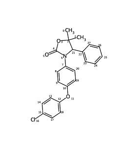 CC1(C)OC(=O)N(c2ccc(Oc3ccc(Cl)cc3)cc2)C1c1ccccc1